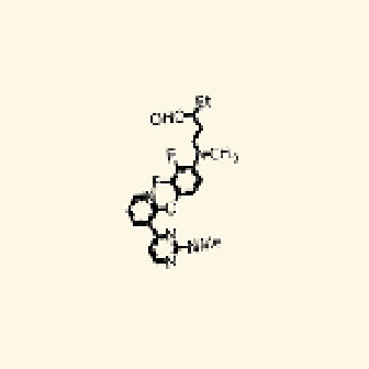 CCC(C=O)CCN(C)c1ccc(Oc2ncccc2-c2ccnc(NC)n2)c(F)c1F